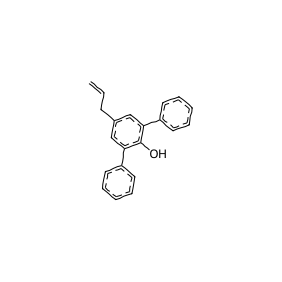 C=CCc1cc(-c2ccccc2)c(O)c(-c2ccccc2)c1